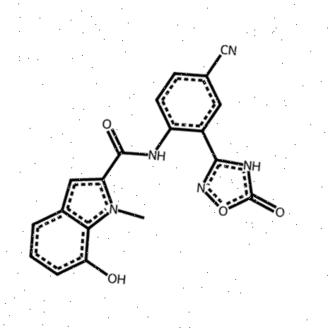 Cn1c(C(=O)Nc2ccc(C#N)cc2-c2noc(=O)[nH]2)cc2cccc(O)c21